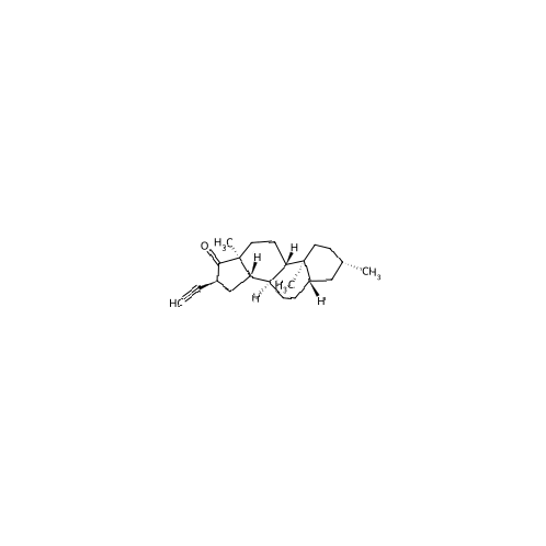 C#C[C@@H]1C[C@H]2[C@@H]3CC[C@H]4C[C@@H](C)CC[C@]4(C)[C@H]3CC[C@]2(C)C1=O